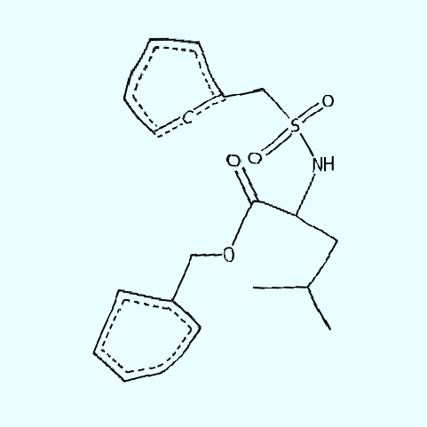 CC(C)CC(NS(=O)(=O)Cc1ccccc1)C(=O)OCc1ccccc1